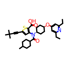 CCc1cc(O[C@H]2CC[C@H](N(C(=O)C3CCC(C)CC3)c3cc(C#CC(C)(C)C)sc3C(=O)O)CC2)cc(CC)n1